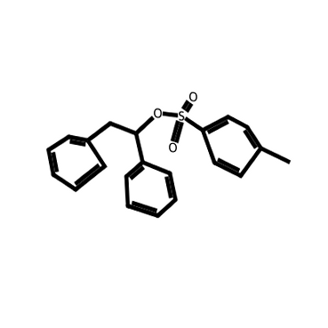 Cc1ccc(S(=O)(=O)OC(Cc2ccccc2)c2ccccc2)cc1